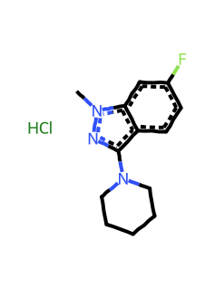 Cl.Cn1nc(N2CCCCC2)c2ccc(F)cc21